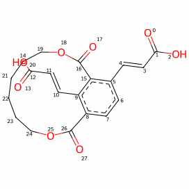 O=C(O)C=Cc1ccc2c(C=CC(=O)O)c1C(=O)OCCCCCCOC2=O